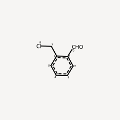 O=Cc1ccccc1CCl